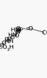 O=C(O)CCCCCCCCCCCOc1ccc(CCc2ccc(S(=O)(=O)Nc3ccc(C(=O)NCCOCCOCC(=O)NCCOCCOCC(=O)O)cn3)cc2)cc1